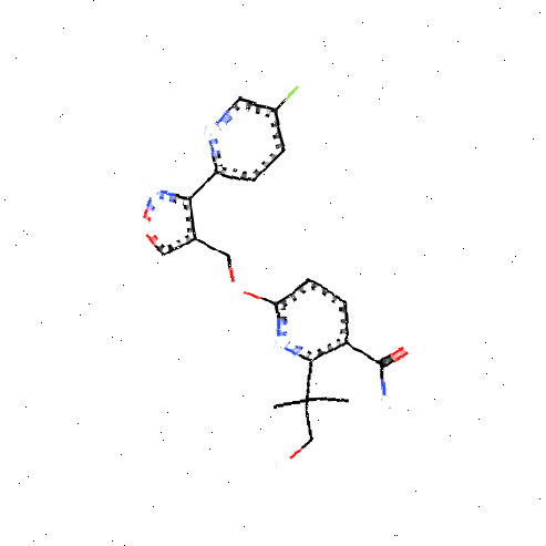 CC(C)(CO)c1nc(OCc2conc2-c2ccc(F)cn2)ccc1C(N)=O